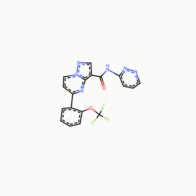 O=C(Nc1cccnn1)c1cnn2ccc(-c3ccccc3OC(F)(F)F)nc12